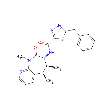 C[C@@H]1[C@H](NC(=O)c2nnc(Cc3ccccc3)s2)C(=O)N(C)c2ncccc2[C@@H]1C